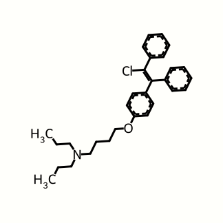 CCCN(CCC)CCCCOc1ccc(C(=C(Cl)c2ccccc2)c2ccccc2)cc1